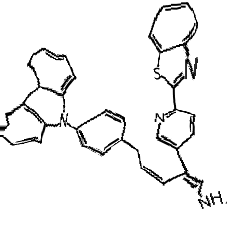 N/C=C(\C=C/Cc1ccc(N2C3=CC=CCC3C3=C2C=CCC3)cc1)c1ccc(-c2nc3ccccc3s2)nc1